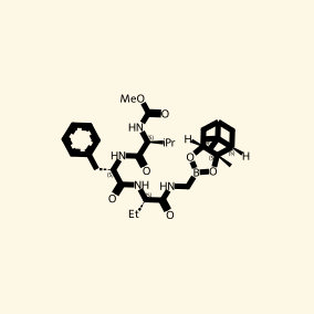 CC[C@H](NC(=O)[C@H](Cc1ccccc1)NC(=O)[C@@H](NC(=O)OC)C(C)C)C(=O)NCB1O[C@@H]2CC3C[C@@H](C3(C)C)[C@]2(C)O1